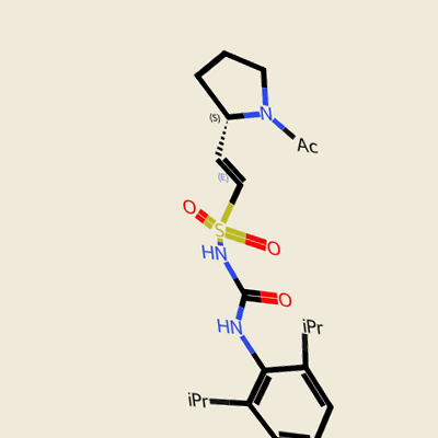 CC(=O)N1CCC[C@H]1/C=C/S(=O)(=O)NC(=O)Nc1c(C(C)C)cccc1C(C)C